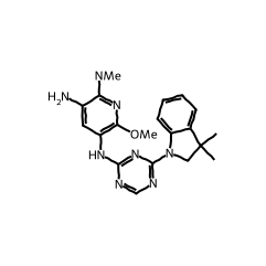 CNc1nc(OC)c(Nc2ncnc(N3CC(C)(C)c4ccccc43)n2)cc1N